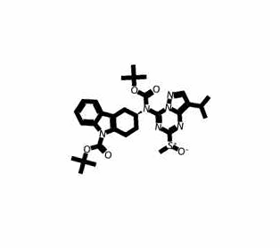 CC(C)c1cnn2c(N(C(=O)OC(C)(C)C)[C@@H]3CCc4c(c5ccccc5n4C(=O)OC(C)(C)C)C3)nc([S+](C)[O-])nc12